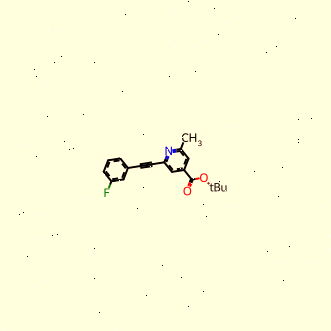 Cc1cc(C(=O)OC(C)(C)C)cc(C#Cc2cccc(F)c2)n1